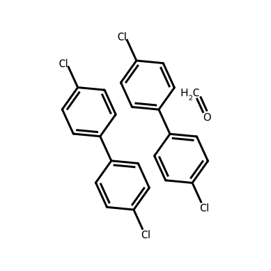 C=O.Clc1ccc(-c2ccc(Cl)cc2)cc1.Clc1ccc(-c2ccc(Cl)cc2)cc1